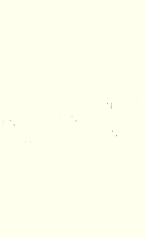 Cc1cncc(C(=O)N[C@]23CCC[C@](C(N)=O)(CC2)C3)n1